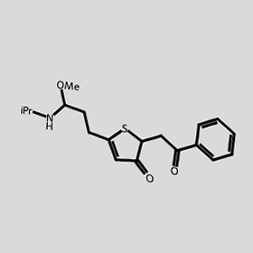 COC(CCC1=CC(=O)C(CC(=O)c2ccccc2)S1)NC(C)C